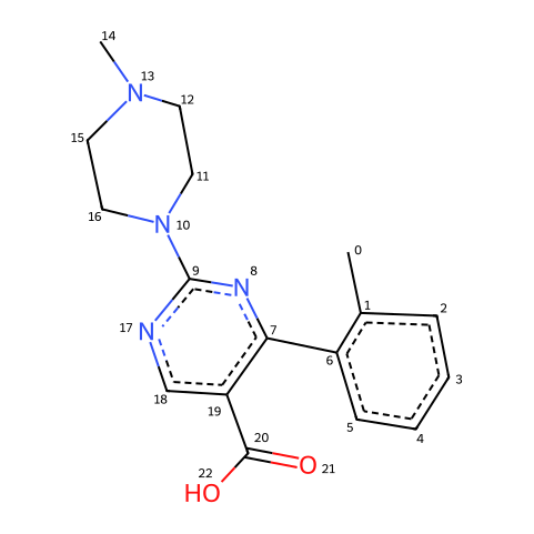 Cc1ccccc1-c1nc(N2CCN(C)CC2)ncc1C(=O)O